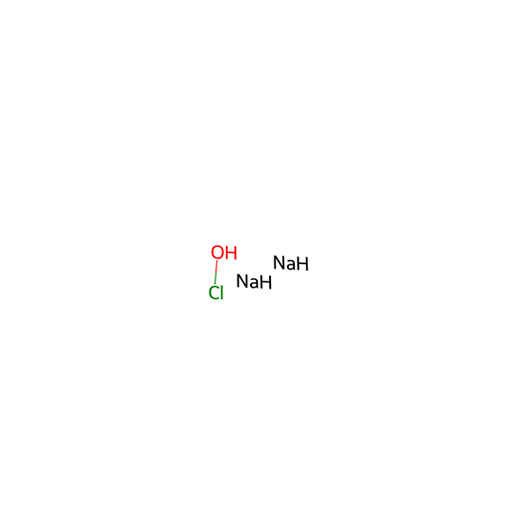 OCl.[NaH].[NaH]